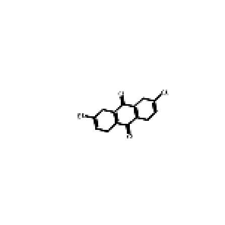 CCC1=CCC2=C(C1)C(=O)C1=C(CC=C(CC)C1)C2=O